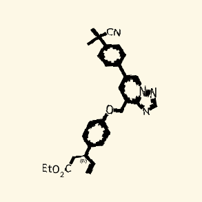 C=C[C@@H](CC(=O)OCC)c1ccc(OCc2cc(-c3ccc(C(C)(C)C#N)cc3)cn3ncnc23)cc1